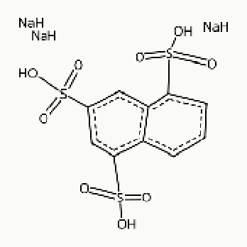 O=S(=O)(O)c1cc(S(=O)(=O)O)c2cccc(S(=O)(=O)O)c2c1.[NaH].[NaH].[NaH]